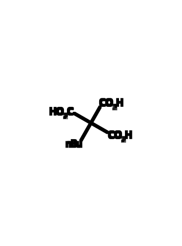 CCCCC(C(=O)O)(C(=O)O)C(=O)O